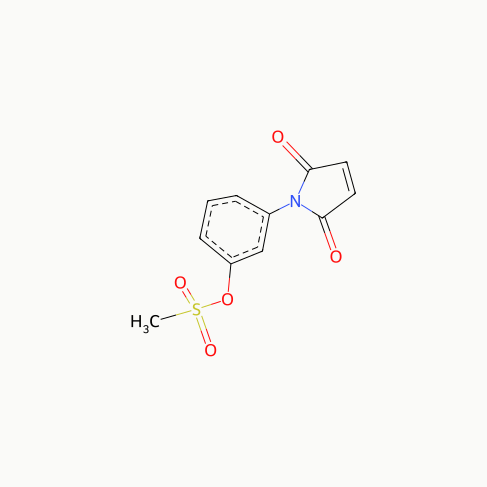 CS(=O)(=O)Oc1cccc(N2C(=O)C=CC2=O)c1